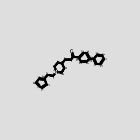 O=C(CCC1CCN(CCc2ccccc2)CC1)c1ccc(-c2ccccc2)cc1